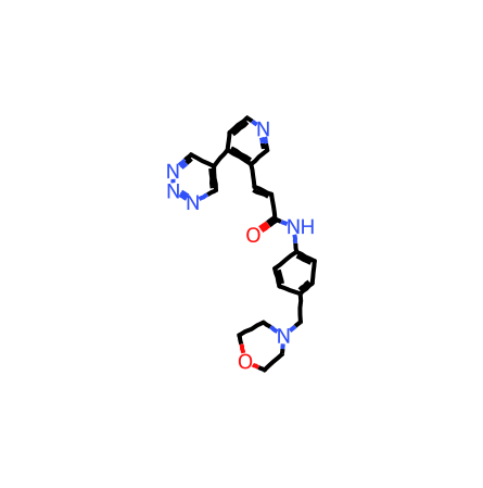 O=C(/C=C/c1cnccc1-c1cnnnc1)Nc1ccc(CN2CCOCC2)cc1